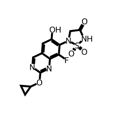 O=C1CN(c2c(O)cc3cnc(OC4CC4)nc3c2F)S(=O)(=O)N1